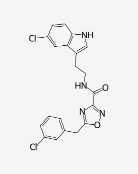 O=C(NCCc1c[nH]c2ccc(Cl)cc12)c1noc(Cc2cccc(Cl)c2)n1